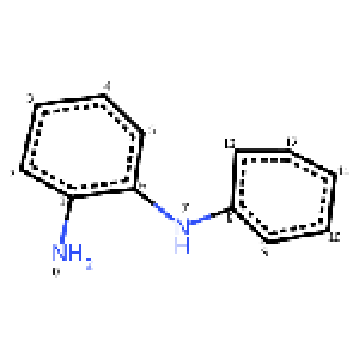 Nc1ccccc1Nc1[c]cccc1